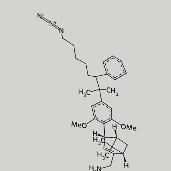 COc1cc(C(C)(C)C(CCCCCN=[N+]=[N-])c2ccccc2)cc(OC)c1[C@H]1C=C(CN)[C@H]2C[C@@H]1C2(C)C